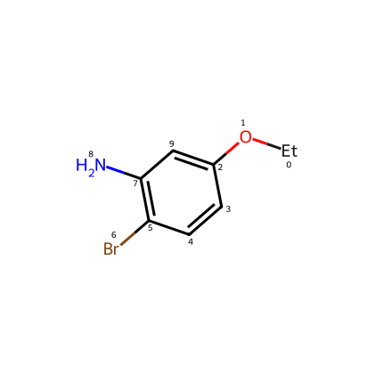 CCOc1ccc(Br)c(N)c1